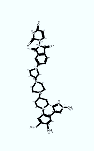 COc1cc(N2CCC(N3CCN(C4CCN(c5ccc6c(c5)C(=O)N(n5ccc(=O)[nH]c5=O)C6=O)C4)CC3)CC2)c(-c2cnn(C)c2)cc1N